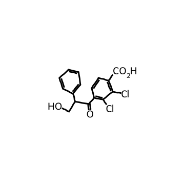 O=C(O)c1ccc(C(=O)C(CO)c2ccccc2)c(Cl)c1Cl